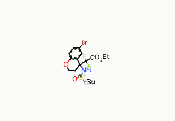 CCOC(=O)C(F)(F)C1(N[S@+]([O-])C(C)(C)C)CCOc2ccc(Br)cc21